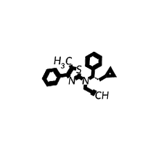 C#CCN(c1nc(-c2ccccc2)c(C)s1)[C@@H](CC1CC1)c1ccccc1